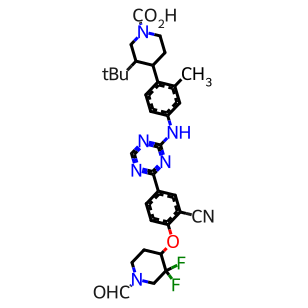 Cc1cc(Nc2ncnc(-c3ccc(OC4CCN(C=O)CC4(F)F)c(C#N)c3)n2)ccc1C1CCN(C(=O)O)CC1C(C)(C)C